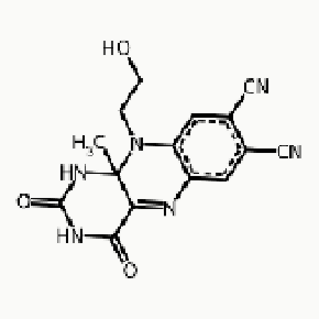 CC12NC(=O)NC(=O)C1=Nc1cc(C#N)c(C#N)cc1N2CCO